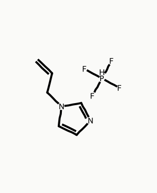 C=CCn1ccnc1.F[PH](F)(F)F